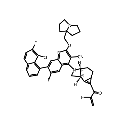 C=C(F)C(=O)C1=C2C1CC[C@@H]1[C@H]2CN1c1c(C#N)c(OCC23CCCN2CCC3)nc2cc(-c3cccc4ccc(F)c(Cl)c34)c(F)cc12